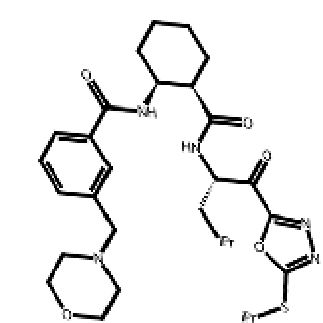 CC(C)C[C@H](NC(=O)[C@@H]1CCCC[C@@H]1NC(=O)c1cccc(CN2CCOCC2)c1)C(=O)c1nnc(SC(C)C)o1